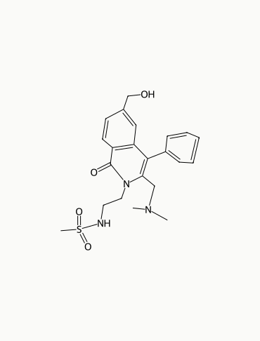 CN(C)Cc1c(-c2ccccc2)c2cc(CO)ccc2c(=O)n1CCNS(C)(=O)=O